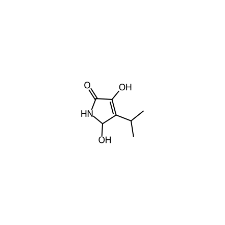 CC(C)C1=C(O)C(=O)NC1O